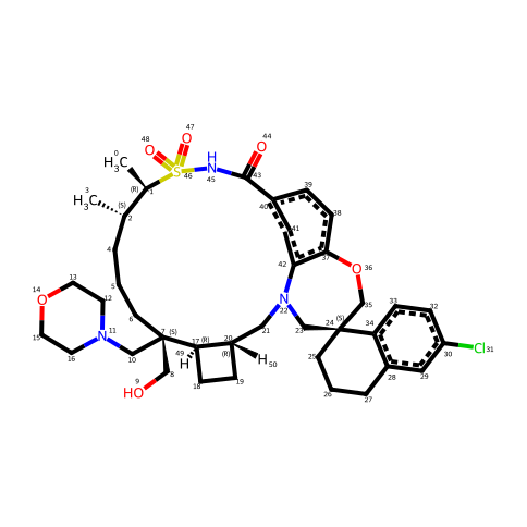 C[C@@H]1[C@@H](C)CCC[C@@](CO)(CN2CCOCC2)[C@@H]2CC[C@H]2CN2C[C@@]3(CCCc4cc(Cl)ccc43)COc3ccc(cc32)C(=O)NS1(=O)=O